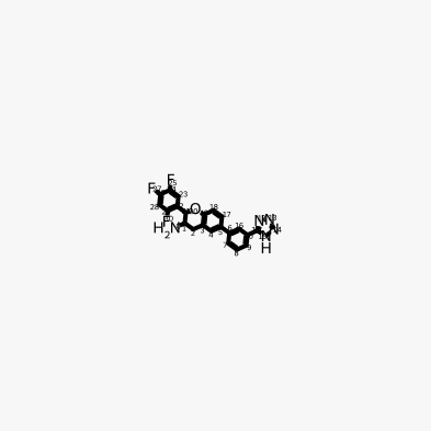 NC1Cc2cc(-c3cccc(-c4nnn[nH]4)c3)ccc2OC1c1cc(F)c(F)cc1F